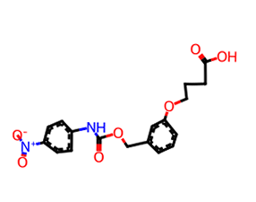 O=C(O)CCCOc1cccc(COC(=O)Nc2ccc([N+](=O)[O-])cc2)c1